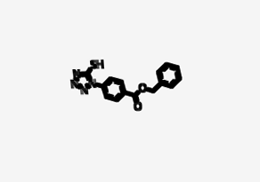 O=C(OCc1ccccc1)c1ccc(-n2nnnc2S)cc1